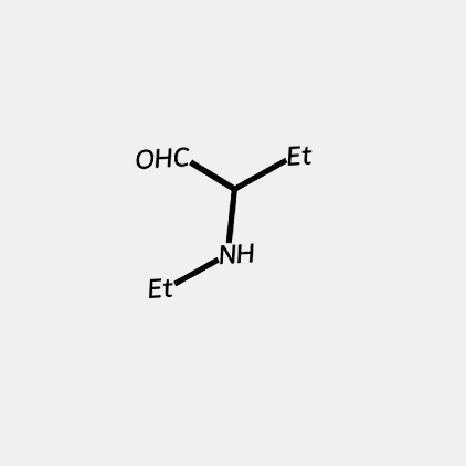 [CH2]CC(C=O)NCC